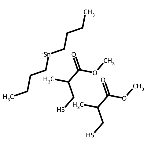 CCC[CH2][Sn][CH2]CCC.COC(=O)C(C)CS.COC(=O)C(C)CS